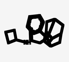 CC1C2CC3CC1CC(C2)C3(CC(=O)NC1CCC1)c1ccccc1